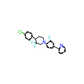 Fc1cc(-c2ccccn2)ccc1N1CCC(c2ccc(Cl)cc2)C(F)(F)C1